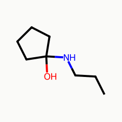 CCCNC1(O)CCCC1